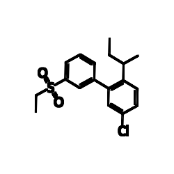 CCC(C)c1ccc(Cl)cc1-c1cccc(S(=O)(=O)CC)c1